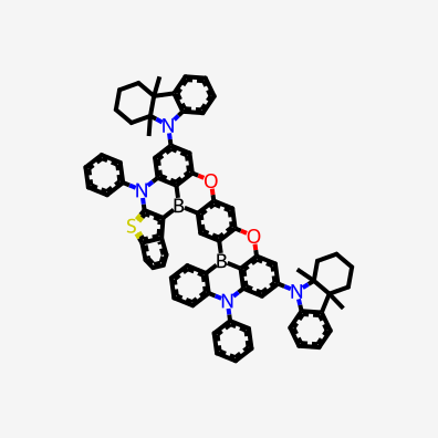 CC12CCCCC1(C)N(c1cc3c4c(c1)N(c1ccccc1)c1ccccc1B4c1cc4c(cc1O3)Oc1cc(N3c5ccccc5C5(C)CCCCC35C)cc3c1B4c1c(sc4ccccc14)N3c1ccccc1)c1ccccc12